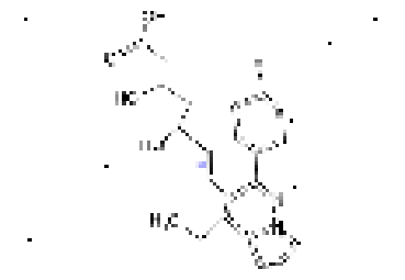 CCc1c(/C=C/C(O)CC(O)CC(=O)O)c(-c2ccc(F)cc2)nn2cccc12